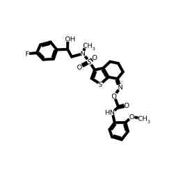 COc1ccccc1NC(=O)O/N=C1/CCCc2c(S(=O)(=O)N(C)CC(O)c3ccc(F)cc3)csc21